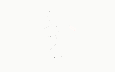 Cc1ccc[c-]1C=O.[Fe+2].c1cc[cH-]c1